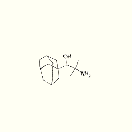 CC(C)(N)C(O)C12CC3CC(CC(C3)C1)C2